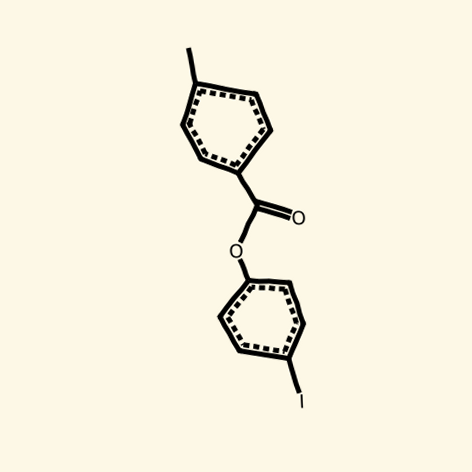 Cc1ccc(C(=O)Oc2ccc(I)cc2)cc1